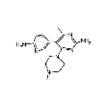 Cc1nc(N)nc(N2CCN(C)CC2)c1-c1ccc(N)nc1